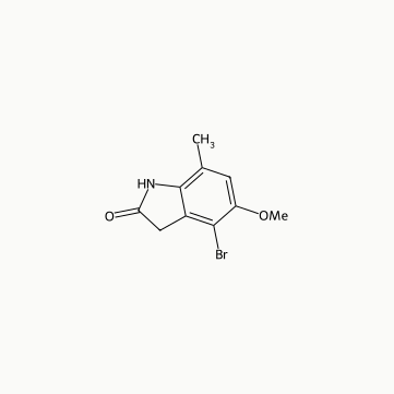 COc1cc(C)c2c(c1Br)CC(=O)N2